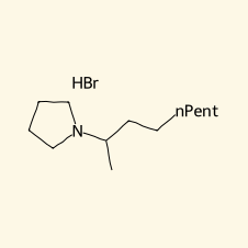 Br.CCCCCCCC(C)N1CCCC1